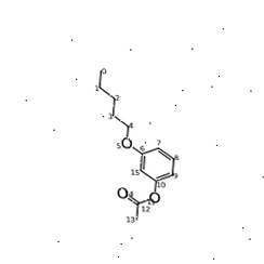 CCCCCOc1cccc(OC(C)=O)c1